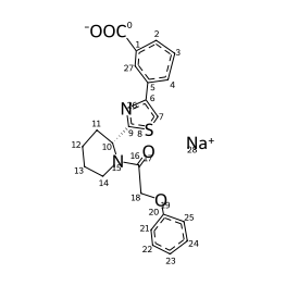 O=C([O-])c1cccc(-c2csc([C@H]3CCCCN3C(=O)COc3ccccc3)n2)c1.[Na+]